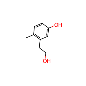 [CH2]c1ccc(O)cc1CCO